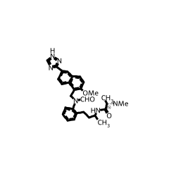 CN[C@@H](C)C(=O)NC(C)CCc1ccccc1N(C=O)Cc1c(OC)ccc2cc(-c3nc[nH]n3)ccc12